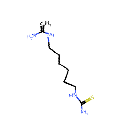 C=C(N)NCCCCCCNC(N)=S